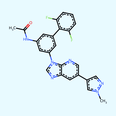 CC(=O)Nc1cc(-c2c(F)cccc2F)cc(-n2cnc3cc(-c4cnn(C)c4)cnc32)c1